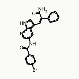 NC(=O)/C(=C\c1c[nH]c2ncc(NC(=O)c3ccc(Br)cc3)cc12)c1ccccc1